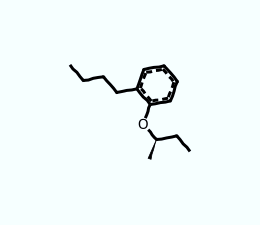 CCCCc1ccccc1O[C@H](C)CC